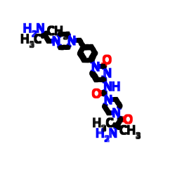 CC(C)(N)CN1CCN(Cc2ccc(-n3ccc(NC(=O)N4CCN(C(=O)C(C)(C)N)CC4)nc3=O)cc2)CC1